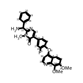 COc1ccc2c(Oc3ccc(-c4cnc(C(N)c5ccccc5)n(C)c4=O)cc3F)ccnc2c1OC